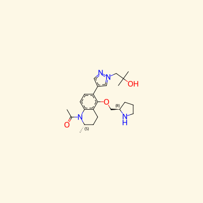 CC(=O)N1c2ccc(-c3cnn(CC(C)(C)O)c3)c(OC[C@H]3CCCN3)c2CC[C@@H]1C